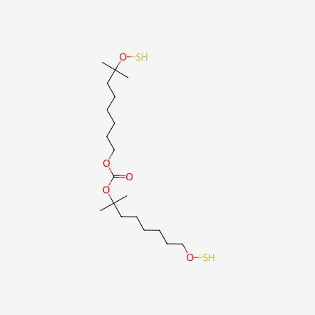 CC(C)(CCCCCCOC(=O)OC(C)(C)CCCCCCOS)OS